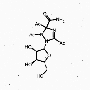 CC(=O)C1=NC(C(C)=O)(C(N)=O)N(C(C)=O)N1[C@@H]1O[C@H](CO)[C@@H](O)[C@H]1O